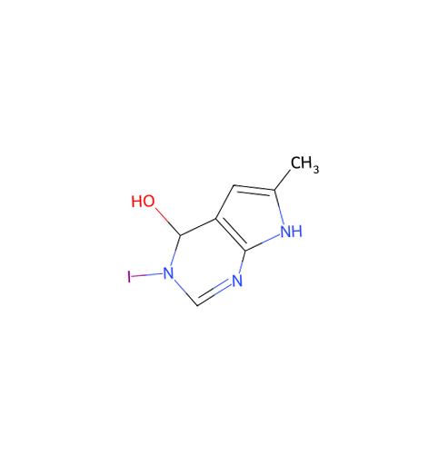 Cc1cc2c([nH]1)N=CN(I)C2O